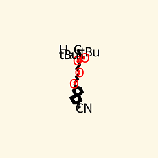 CC(C)(C)C(C)(C(=O)OCCOCCOc1ccc2cc(C#N)ccc2c1)C(C)(C)C